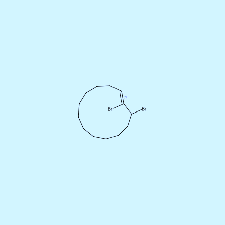 Br/C1=C\CCCCCCCCCCC1Br